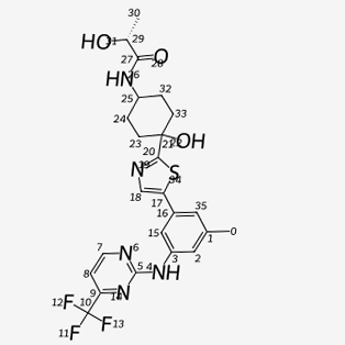 Cc1cc(Nc2nccc(C(F)(F)F)n2)cc(-c2cnc(C3(O)CCC(NC(=O)[C@@H](C)O)CC3)s2)c1